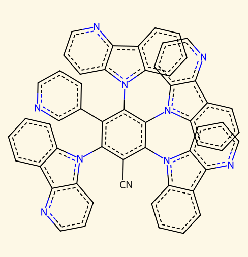 N#Cc1c(-n2c3ccccc3c3ncccc32)c(-c2cccnc2)c(-n2c3ccccc3c3ncccc32)c(-n2c3ccccc3c3ncccc32)c1-n1c2ccccc2c2ncccc21